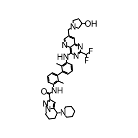 Cc1c(NC(=O)c2cc3n(n2)CCC[C@@H]3N2CCCCC2)cccc1-c1cccc(Nc2nc(C(F)F)nc3cc(CN4CC[C@@H](O)C4)cnc23)c1C